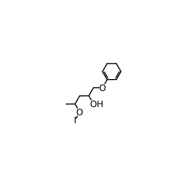 CC(CC(O)COC1=CCCC=C1)OI